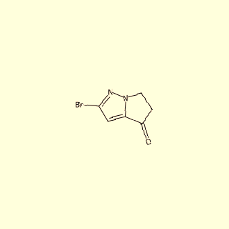 O=C1CCn2nc(Br)cc21